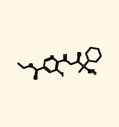 CCOC(=O)c1cnc(NCC(=O)C(C)(N)C2CCCCC2)c(I)c1